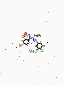 COc1cc(/C=N/N(CC(C)C)C2=NS(=O)(=O)c3cc(Br)ccc32)ccc1Cl